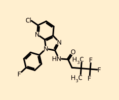 CC(C)(CC(=O)Nc1nc2ccc(Cl)nc2n1-c1ccc(F)cc1)C(F)(F)F